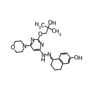 CC(C)(O)COc1nc(NN=C2CCCc3cc(O)ccc32)cc(N2CCOCC2)n1